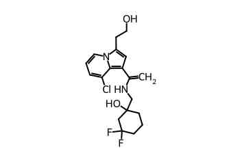 C=C(NCC1(O)CCCC(F)(F)C1)c1cc(CCO)n2cccc(Cl)c12